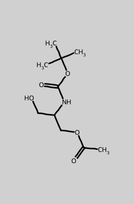 CC(=O)OCC(CO)NC(=O)OC(C)(C)C